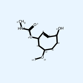 CNC(=O)OC1/C=C/C(O)CCC(OI)C1